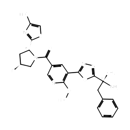 COc1ncc(C(=O)N2C[C@@H](F)C[C@@H]2c2nc(C)cs2)cc1-c1nnc([C@](C)(N)Cc2ccccc2)o1